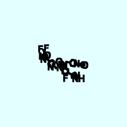 O=c1n(Cc2ccc(-c3nnc(C(F)F)o3)cn2)c2cc(F)c(-c3cn[nH]c3)cc2n1CC1CCN(C2COC2)CC1